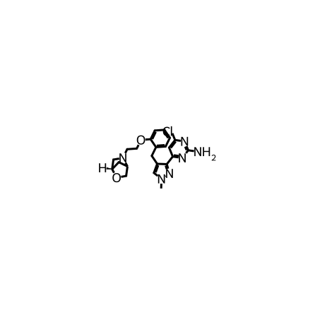 Cn1cc(Cc2ccccc2OCCN2C[C@@H]3CC2CO3)c(-c2cc(Cl)nc(N)n2)n1